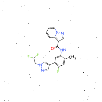 Cc1cc(F)c(-c2cnn(CC(F)F)c2)cc1NC(=O)c1cnn2ccccc12